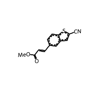 COC(=O)C=Cc1ccc2sc(C#N)cc2c1